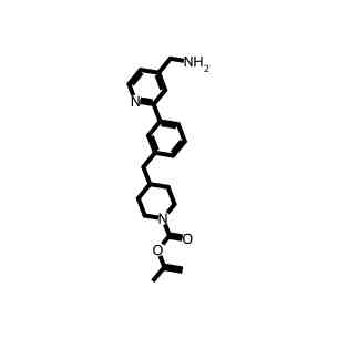 C=C(C)OC(=O)N1CCC(Cc2cccc(-c3cc(CN)ccn3)c2)CC1